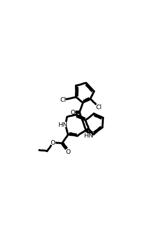 CCOC(=O)C1=CC23C(=CCN1)C=CC=C2NCC3C(=O)c1c(Cl)cccc1Cl